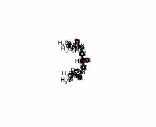 COC(=O)N[C@H](C(=O)N1C2CCC(C2)C1c1ncc(-c2ccc(-c3ccc(-c4ccc5nc([C@@H]6C7CCC(C7)N6C(=O)[C@@H](NC(=O)OC)C(C)C)[nH]c5c4)c4c3C3CCC4N3C)cc2)[nH]1)C(C)C